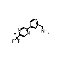 NCc1cc(-c2cnc(C(F)(F)F)cn2)ccn1